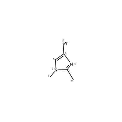 Cc1nc(C(C)C)cn1C